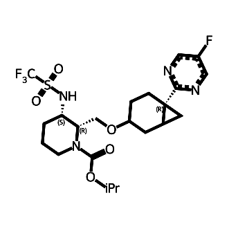 CC(C)OC(=O)N1CCC[C@H](NS(=O)(=O)C(F)(F)F)[C@@H]1COC1CC[C@@]2(c3ncc(F)cn3)CC2C1